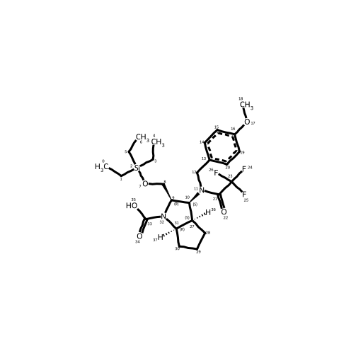 CC[Si](CC)(CC)OC[C@H]1[C@@H](N(Cc2ccc(OC)cc2)C(=O)C(F)(F)F)[C@H]2CCC[C@H]2N1C(=O)O